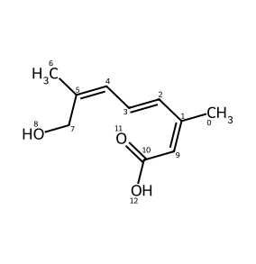 CC(C=CC=C(C)CO)=CC(=O)O